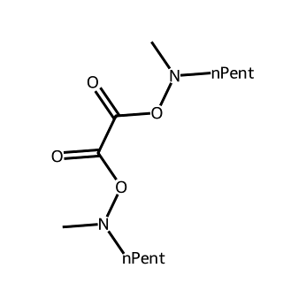 CCCCCN(C)OC(=O)C(=O)ON(C)CCCCC